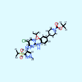 CC(C)Oc1cc(C2CCN(C(=O)OC(C)(C)C)CC2)ccc1Nc1ncc(Cl)c(Nc2cn(C)nc2S(=O)(=O)C(C)C)n1